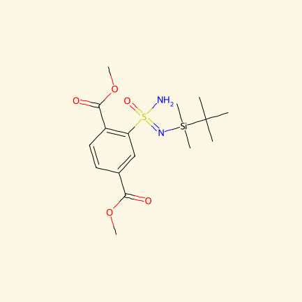 COC(=O)c1ccc(C(=O)OC)c(S(N)(=O)=N[Si](C)(C)C(C)(C)C)c1